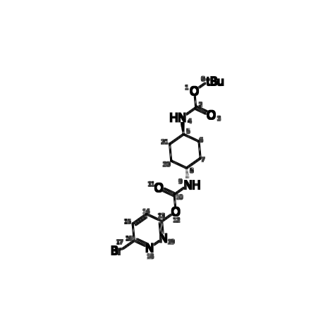 CC(C)(C)OC(=O)N[C@H]1CC[C@H](NC(=O)Oc2ccc(Br)nn2)CC1